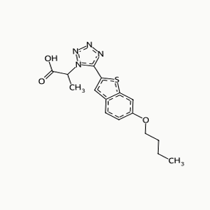 CCCCOc1ccc2cc(-c3nnnn3C(C)C(=O)O)sc2c1